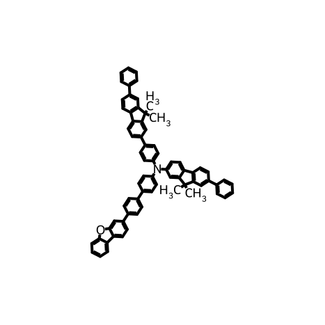 CC1(C)c2cc(-c3ccccc3)ccc2-c2ccc(-c3ccc(N(c4ccc(-c5ccc(-c6ccc7c(c6)oc6ccccc67)cc5)cc4)c4ccc5c(c4)C(C)(C)c4cc(-c6ccccc6)ccc4-5)cc3)cc21